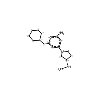 CN[C@@H]1CCN(c2cc(N)nc(CC3CCCCC3)n2)C1